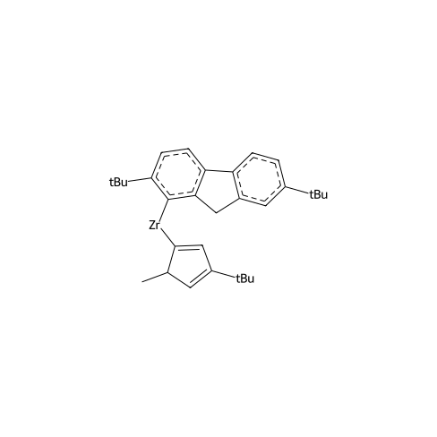 CC1C=C(C(C)(C)C)C=[C]1[Zr][c]1c(C(C)(C)C)ccc2c1Cc1cc(C(C)(C)C)ccc1-2